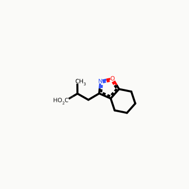 CC(Cc1noc2c1CCCC2)C(=O)O